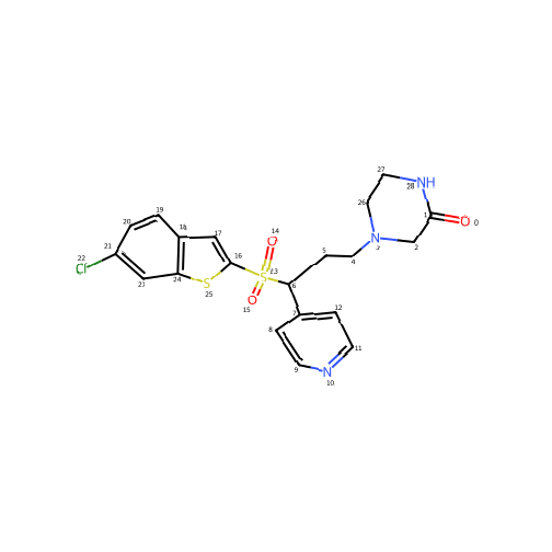 O=C1CN(CCC(c2ccncc2)S(=O)(=O)c2cc3ccc(Cl)cc3s2)CCN1